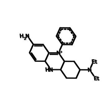 CCN(CC)C1CCC2NC3C=CC(N)=CC3=[N+](c3ccccc3)C2C1